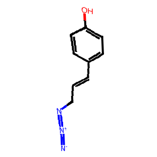 [N-]=[N+]=NCC=Cc1ccc(O)cc1